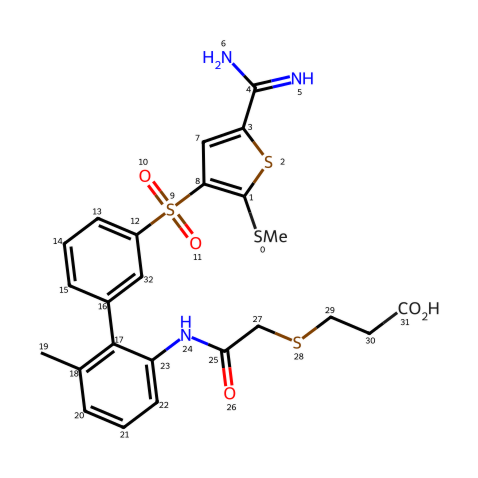 CSc1sc(C(=N)N)cc1S(=O)(=O)c1cccc(-c2c(C)cccc2NC(=O)CSCCC(=O)O)c1